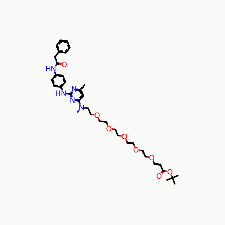 Cc1cc(N(C)CCOCCOCCOCCOCCOCCC(=O)OC(C)(C)C)nc(Nc2ccc(NC(=O)Cc3ccccc3)cc2)n1